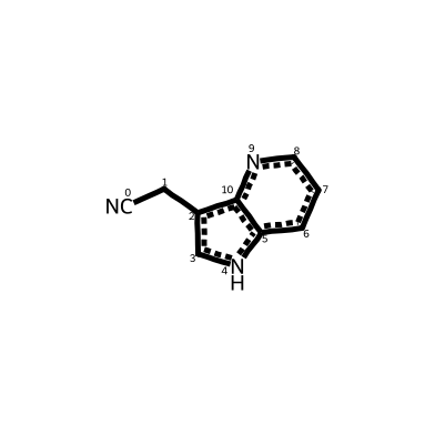 N#CCc1c[nH]c2cccnc12